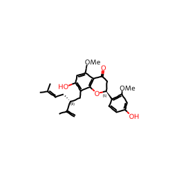 C=C(C)[C@H](CC=C(C)C)Cc1c(O)cc(OC)c2c1O[C@H](c1ccc(O)cc1OC)CC2=O